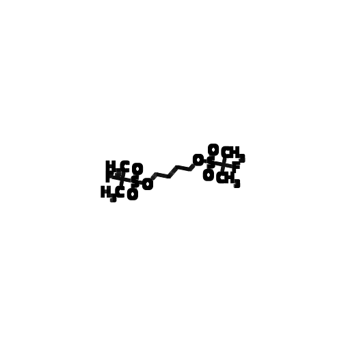 CC(C)(F)S(=O)(=O)OCCCCOS(=O)(=O)C(C)(C)F